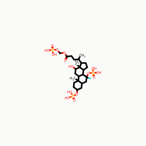 CC(CCC(=O)OCOP(=O)(O)O)C1CCC2C3C(CC(O)C12C)C1(C)CCC(OP(=O)(O)O)CC1CC3(F)OP(=O)(O)O